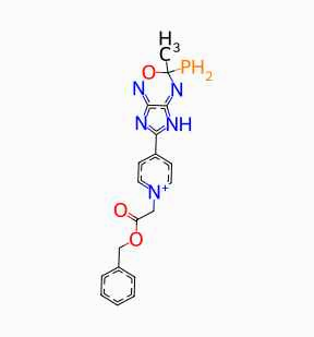 CC1(P)N=c2[nH]c(-c3cc[n+](CC(=O)OCc4ccccc4)cc3)nc2=NO1